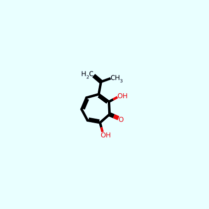 C=C(C)c1cccc(O)c(=O)c1O